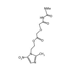 CNC(=O)NC(=O)COCC(=O)OCCn1c([N+](=O)[O-])cnc1C